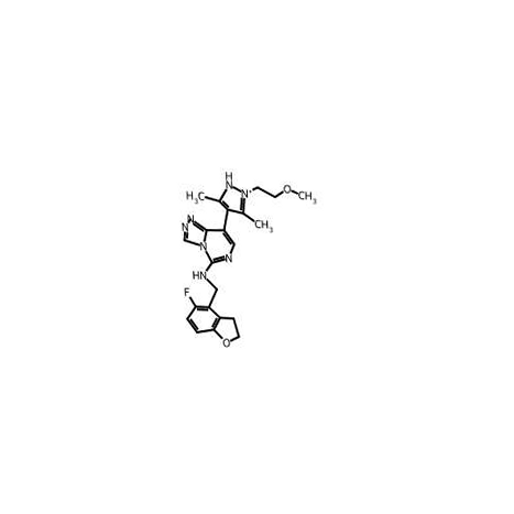 COCC[n+]1[nH]c(C)c(-c2cnc(NCc3c(F)ccc4c3CCO4)n3cnnc23)c1C